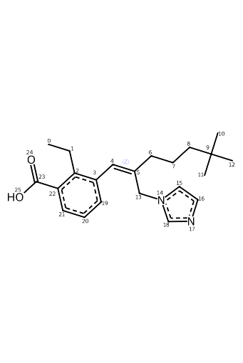 CCc1c(/C=C(/CCCC(C)(C)C)Cn2ccnc2)cccc1C(=O)O